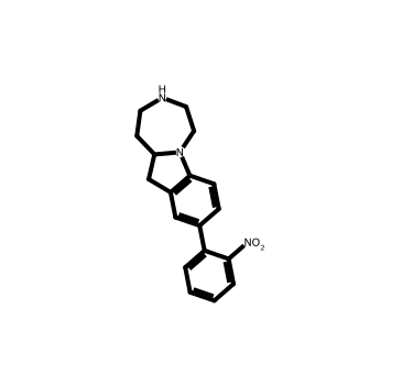 O=[N+]([O-])c1ccccc1-c1ccc2c(c1)CC1CCNCCN21